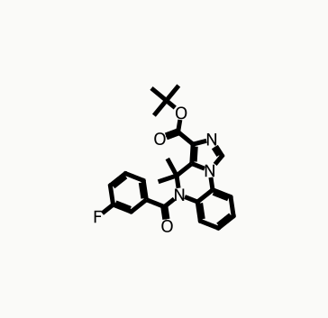 CC(C)(C)OC(=O)c1ncn2c1C(C)(C)N(C(=O)c1cccc(F)c1)c1ccccc1-2